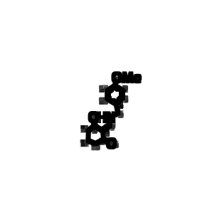 COc1ccc(CNC=C2C(=O)CCCC2=O)cc1